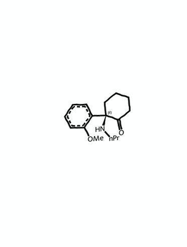 CCCN[C@@]1(c2ccccc2OC)CCCCC1=O